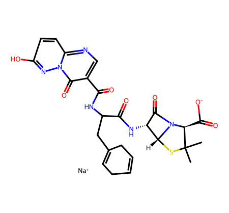 CC1(C)S[C@@H]2[C@H](NC(=O)C(CC3=CCC=CC3)NC(=O)c3cnc4ccc(O)nn4c3=O)C(=O)N2[C@H]1C(=O)[O-].[Na+]